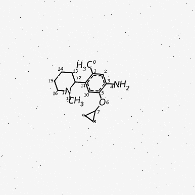 Cc1cc(N)c(OC2CC2)cc1C1CCCCN1C